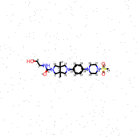 CC12CN(C(=O)NCCO)CC1(C)CN(c1ccc(N3CCN(S(C)(=O)=O)CC3)cc1)C2